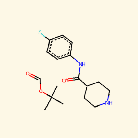 CC(C)(C)OC=O.O=C(Nc1ccc(F)cc1)C1CCNCC1